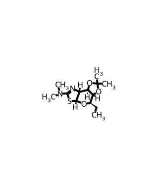 CC[C@H]1O[C@@H]2SC(N(C)C)=N[C@@H]2[C@H]2OC(C)(C)O[C@@H]21